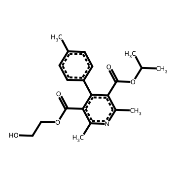 Cc1ccc(-c2c(C(=O)OCCO)c(C)nc(C)c2C(=O)OC(C)C)cc1